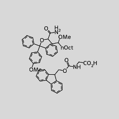 CCCCCCCCC(CC(OC(c1ccccc1)(c1ccccc1)c1ccc(OC)cc1)C(N)=O)OC.O=C(O)CNC(=O)OCC1c2ccccc2-c2ccccc21